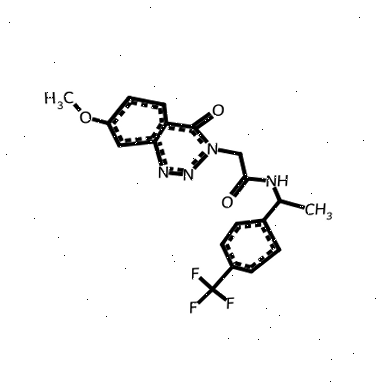 COc1ccc2c(=O)n(CC(=O)NC(C)c3ccc(C(F)(F)F)cc3)nnc2c1